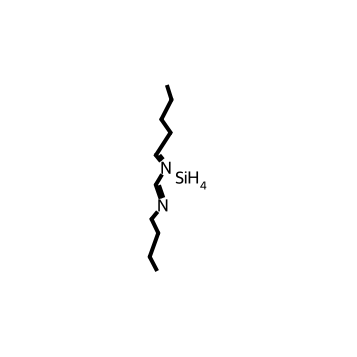 CCCCC=NC=NCCCC.[SiH4]